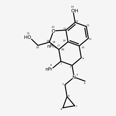 CCCC1C(N(C)CC2CC2)Cc2ccc(O)c3c2[C@]1(CCC)C(CO)O3